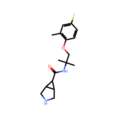 Cc1cc(F)ccc1OCC(C)(C)NC(=O)C1C2CNCC21